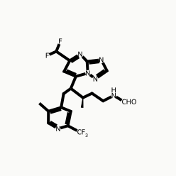 Cc1cnc(C(F)(F)F)cc1CC(c1cc(C(F)F)nc2ncnn12)[C@H](C)CCNC=O